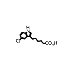 O=C(O)CCCCCc1c[nH]c2ccc(Cl)cc12